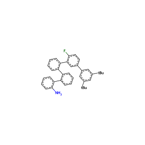 CC(C)(C)c1cc(-c2ccc(F)c(-c3ccccc3-c3ccccc3-c3ccccc3N)c2)cc(C(C)(C)C)c1